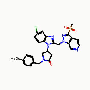 COc1ccc(CN2CC(n3c(Cn4nc(S(C)(=O)=O)c5ccncc54)nc4cc(Cl)ccc43)CC2=O)cc1